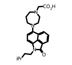 CC(C)CCN1C(=O)c2cccc3c(N4CCCN(CC(=O)O)CC4)ccc1c23